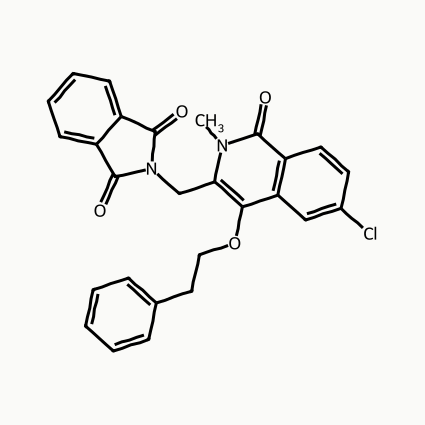 Cn1c(CN2C(=O)c3ccccc3C2=O)c(OCCc2ccccc2)c2cc(Cl)ccc2c1=O